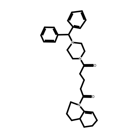 O=C(CCCC(=O)N1CCCC2CCCC=C21)N1CCN(C(c2ccccc2)c2ccccc2)CC1